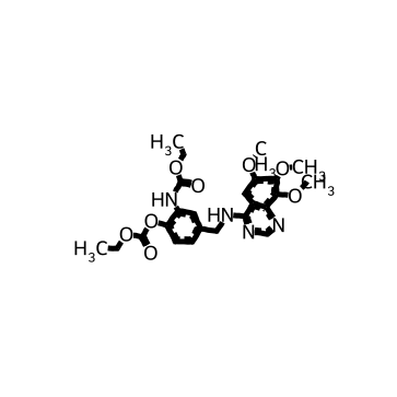 CCOC(=O)Nc1cc(CNc2ncnc3c(OC)c(OC)c(OC)cc23)ccc1OC(=O)OCC